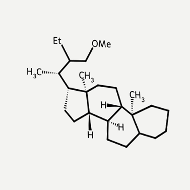 CCC(COC)[C@@H](C)[C@H]1CC[C@H]2[C@@H]3CCC4CCCC[C@]4(C)[C@H]3CC[C@]12C